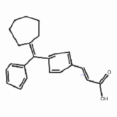 O=C(O)/C=C/c1ccc(C(=C2CCCCCC2)c2ccccc2)cc1